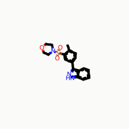 Cc1ccc(-c2n[nH]c3ccccc23)cc1S(=O)(=O)N1CCOCC1